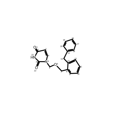 O=c1ccn(COCc2ccccc2Cc2ccccc2)c(=O)[nH]1